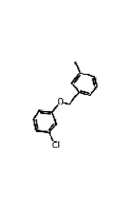 Cc1cccc(COc2cccc(Cl)c2)c1